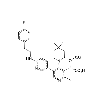 Cc1ncc(-c2ccc(NCCc3ccc(F)cc3)nc2)c(N2CCC(C)(C)CC2)c1[C@H](OC(C)(C)C)C(=O)O